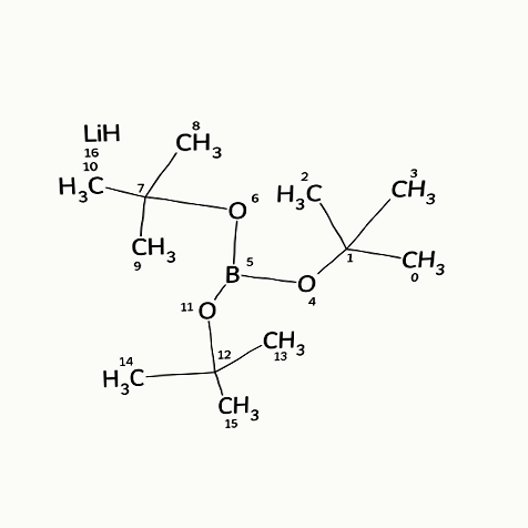 CC(C)(C)OB(OC(C)(C)C)OC(C)(C)C.[LiH]